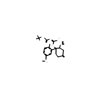 CN1/C(=N/C(=O)OC(C)(C)C)NC2(c3cc([N+](=O)[O-])ccc3F)CCC(=O)CC2S1(=O)=O